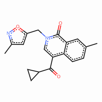 Cc1ccc2c(C(=O)C3CC3)cn(Cc3cc(C)no3)c(=O)c2c1